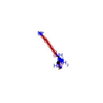 [N-]=[N+]=NCCOCCOCCOCCOCCOCCOCCOCCOCCC(=O)NCCCCn1nc(-c2cccc(C(=O)NC3=NCCS3)c2)c2c(N)ncnc21